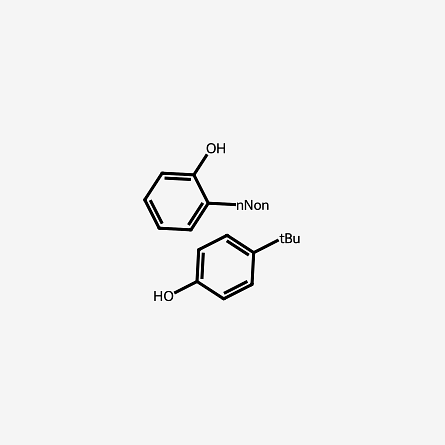 CC(C)(C)c1ccc(O)cc1.CCCCCCCCCc1ccccc1O